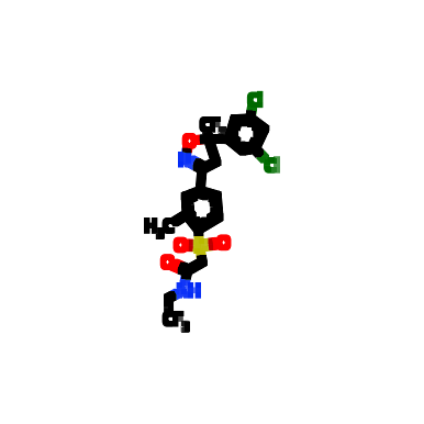 Cc1cc(C2=NOC(c3cc(Cl)cc(Cl)c3)(C(F)(F)F)C2)ccc1S(=O)(=O)CC(=O)NCC(F)(F)F